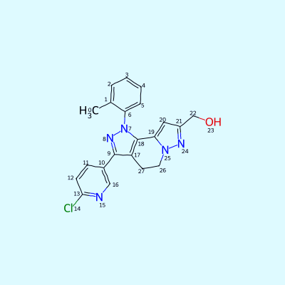 Cc1ccccc1-n1nc(-c2ccc(Cl)nc2)c2c1-c1cc(CO)nn1CC2